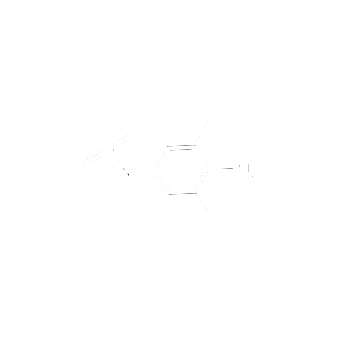 Bc1c(C)cc(NS(C)(=O)=O)cc1C